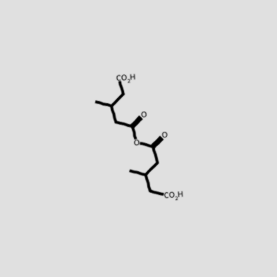 CC(CC(=O)O)CC(=O)OC(=O)CC(C)CC(=O)O